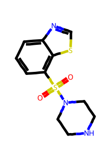 O=S(=O)(c1cccc2ncsc12)N1CCNCC1